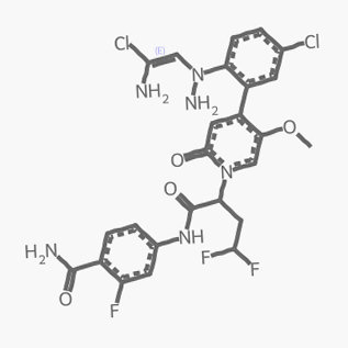 COc1cn(C(CC(F)F)C(=O)Nc2ccc(C(N)=O)c(F)c2)c(=O)cc1-c1cc(Cl)ccc1N(N)/C=C(\N)Cl